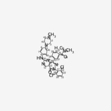 CN1CCN(c2ccc(Nc3ncc4c(=O)n(-c5c(Cl)cccc5Cl)nc(-c5cccc(C(=O)N(C)C)c5)c4n3)cc2)CC1